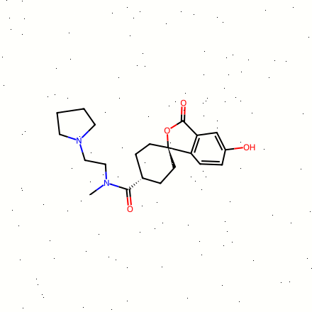 CN(CCN1CCCC1)C(=O)[C@H]1CC[C@@]2(CC1)OC(=O)c1cc(O)ccc12